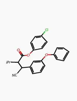 CC(C)C(C(=O)Oc1ccc(Cl)cc1)C(C#N)c1cccc(Oc2ccccc2)c1